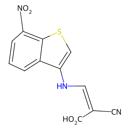 N#CC(=CNc1csc2c([N+](=O)[O-])cccc12)C(=O)O